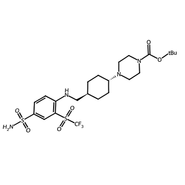 CC(C)(C)OC(=O)N1CCN([C@H]2CC[C@H](CNc3ccc(S(N)(=O)=O)cc3S(=O)(=O)C(F)(F)F)CC2)CC1